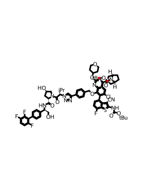 CC(C)[C@@H](C(=O)N1C[C@H](O)C[C@H]1C(=O)N[C@@H](CO)c1ccc(-c2c(F)ccc(F)c2F)cc1)n1cc(-c2ccc(COc3c(-c4ccc(F)c5sc(NC(=O)OC(C)(C)C)c(C#N)c45)c(Cl)cc4c(N5C[C@H]6CC[C@@H](C5)N6C(=O)OC(C)(C)C)nc(OC5CCOCC5)nc34)cc2)nn1